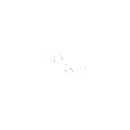 Clc1ccc(Cn2ccc3ccc(Cl)cc32)cc1